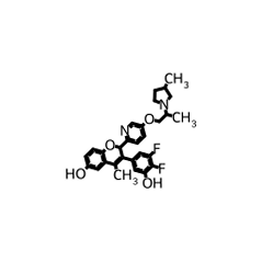 CC1=C(c2cc(O)c(F)c(F)c2)C(c2ccc(OCC(C)N3CCC(C)C3)cn2)Oc2ccc(O)cc21